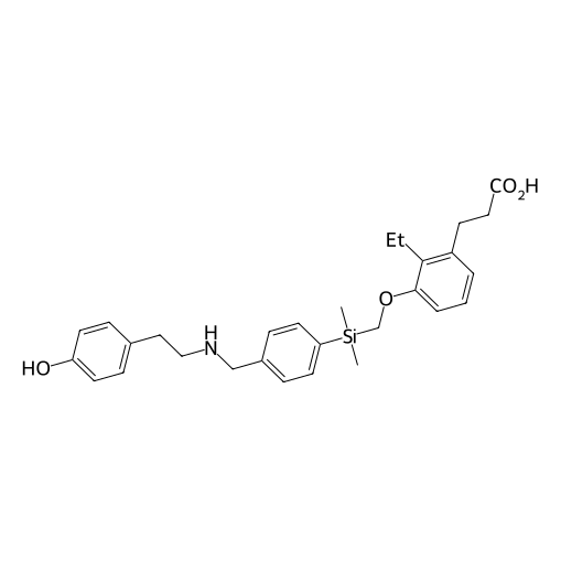 CCc1c(CCC(=O)O)cccc1OC[Si](C)(C)c1ccc(CNCCc2ccc(O)cc2)cc1